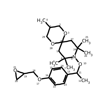 CC1COC2(CC(C)(C)N(OC(C)c3ccc(OCC4CO4)cc3)C(C)(C)C2)OC1